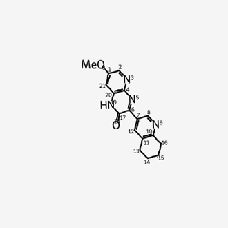 COc1cnc2nc(-c3cnc4c(c3)CC[C]C4)c(=O)[nH]c2c1